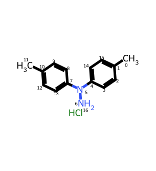 Cc1ccc(N(N)c2ccc(C)cc2)cc1.Cl